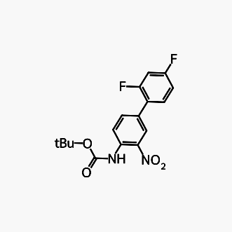 CC(C)(C)OC(=O)Nc1ccc(-c2ccc(F)cc2F)cc1[N+](=O)[O-]